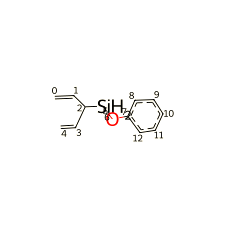 C=CC(C=C)[SiH2]Oc1ccccc1